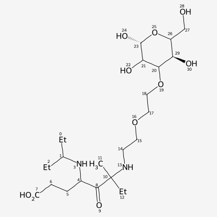 CCC(CC)NC(CCC(=O)O)C(=O)C(C)(CC)NCCOCCOC1C(O)[C@H](O)OC(CO)[C@H]1O